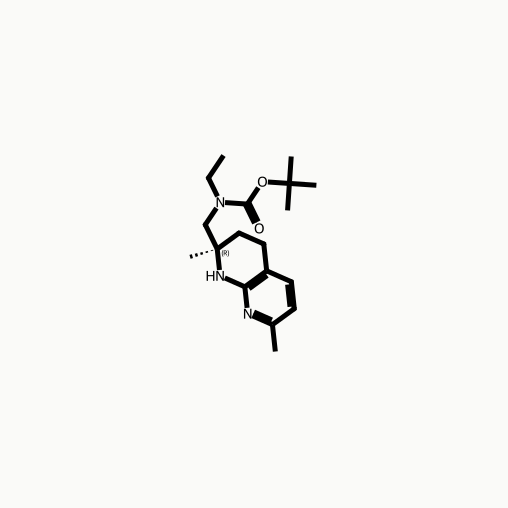 CCN(C[C@@]1(C)CCc2ccc(C)nc2N1)C(=O)OC(C)(C)C